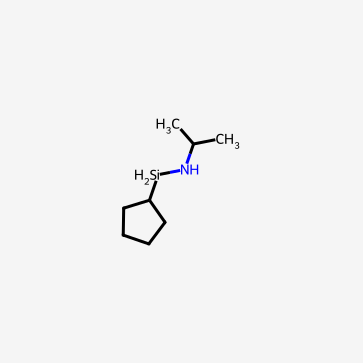 CC(C)N[SiH2]C1CCCC1